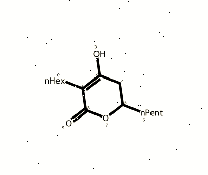 CCCCCCC1=C(O)CC(CCCCC)OC1=O